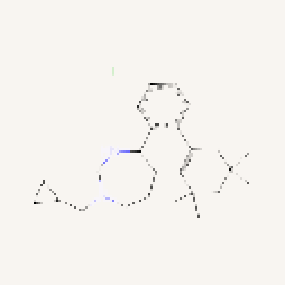 CC1(C)C=C(c2ccccc2C2CCCN(CC3CC3)CN2)CC(C)(C)C1.Cl